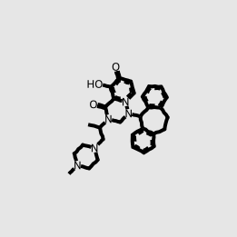 CC(CN1CCN(C)CC1)N1CN(C2c3ccccc3CCc3ccccc32)n2ccc(=O)c(O)c2C1=O